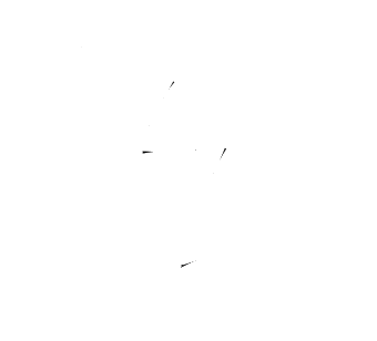 C=C(C)[C@@H]1CCC2(C(=O)Cl)CC[C@]3(C)C(CC[C@@H]4C5(C)CCC(OC(C)=O)C(C)(C)[C@@H]5CCC43C)C12